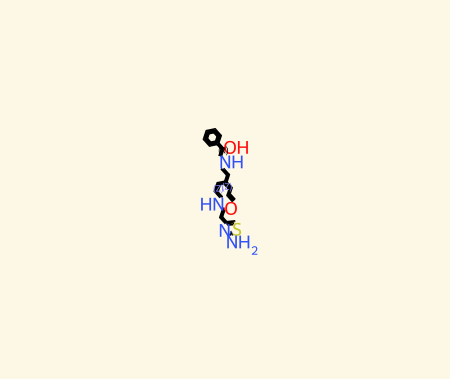 C=C/C=C(\C=C/CNC(=O)Cc1csc(N)n1)CCNC[C@H](O)c1ccccc1